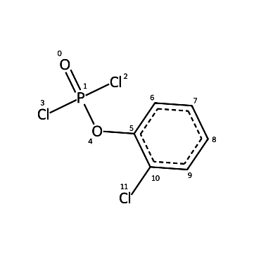 O=P(Cl)(Cl)Oc1ccccc1Cl